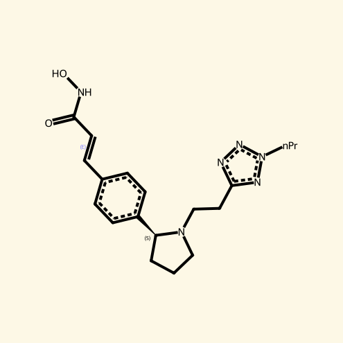 CCCn1nnc(CCN2CCC[C@H]2c2ccc(/C=C/C(=O)NO)cc2)n1